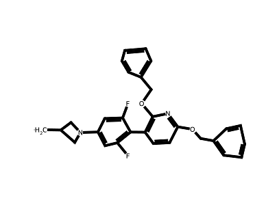 [CH2]C1CN(c2cc(F)c(-c3ccc(OCc4ccccc4)nc3OCc3ccccc3)c(F)c2)C1